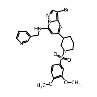 COc1ccc(S(=O)(=O)N2CCCC(c3cc(NCc4cccnc4)n4ncc(Br)c4n3)C2)cc1OC